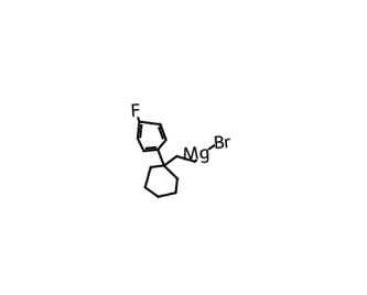 Fc1ccc(C2(C[CH2][Mg][Br])CCCCC2)cc1